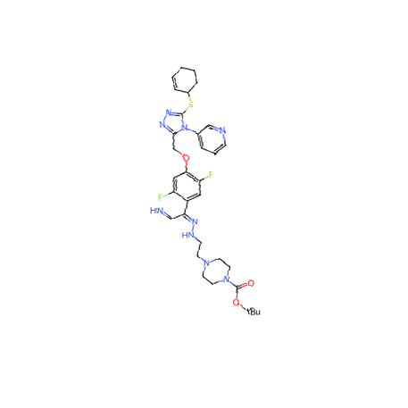 CC(C)(C)OC(=O)N1CCN(CCN/N=C(\C=N)c2cc(F)c(OCc3nnc(SC4C=CCCC4)n3-c3cccnc3)cc2F)CC1